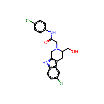 O=C(CN1Cc2[nH]c3ccc(Cl)cc3c2CC1CO)Nc1ccc(Cl)cc1